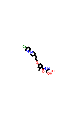 Cc1cc(OCCCC2CCN(c3ccc(Cl)cn3)CC2)ccc1C(=O)NC(CO)CO